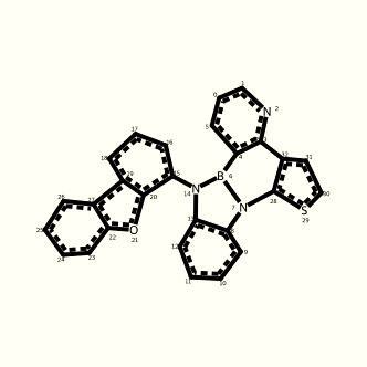 c1cnc2c(c1)B1N(c3ccccc3N1c1cccc3c1oc1ccccc13)c1sccc1-2